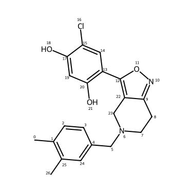 Cc1ccc(CN2CCc3noc(-c4cc(Cl)c(O)cc4O)c3C2)cc1C